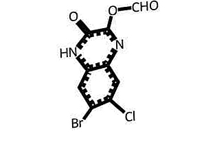 O=COc1nc2cc(Cl)c(Br)cc2[nH]c1=O